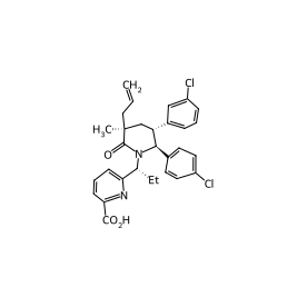 C=CC[C@@]1(C)C[C@H](c2cccc(Cl)c2)[C@@H](c2ccc(Cl)cc2)N([C@H](CC)c2cccc(C(=O)O)n2)C1=O